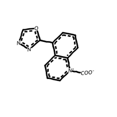 O=C([O-])[n+]1cccc2c(-c3nnco3)cccc21